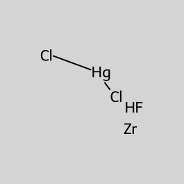 F.[Cl][Hg][Cl].[Zr]